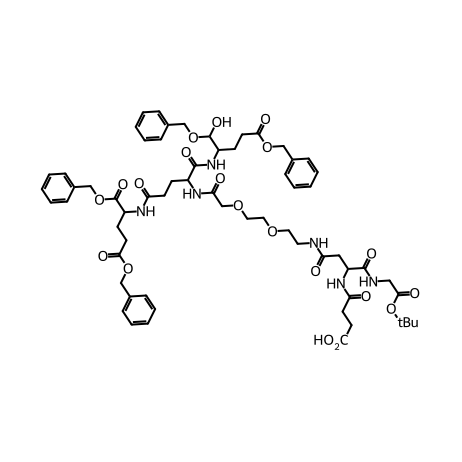 CC(C)(C)OC(=O)CNC(=O)C(CC(=O)NCCOCCOCC(=O)NC(CCC(=O)NC(CCC(=O)OCc1ccccc1)C(=O)OCc1ccccc1)C(=O)NC(CCC(=O)OCc1ccccc1)C(O)OCc1ccccc1)NC(=O)CCC(=O)O